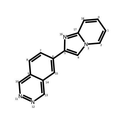 c1ccn2cc(-c3ccc4cnncc4c3)nc2c1